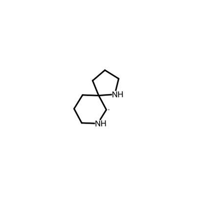 [CH]1NCCCC12CCCN2